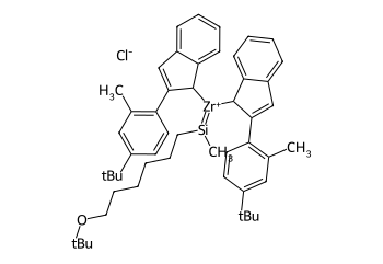 Cc1cc(C(C)(C)C)ccc1C1=Cc2ccccc2[CH]1[Zr+]([CH]1C(c2ccc(C(C)(C)C)cc2C)=Cc2ccccc21)=[Si](C)CCCCCCOC(C)(C)C.[Cl-]